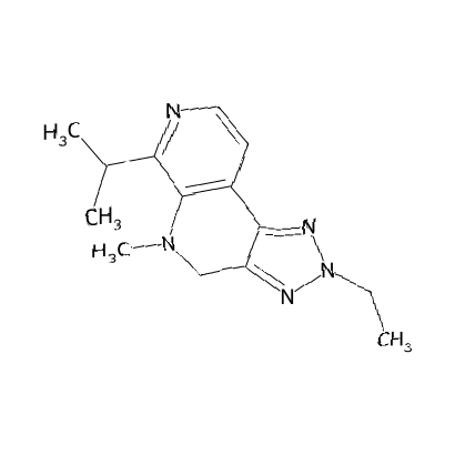 CCn1nc2c(n1)-c1ccnc(C(C)C)c1N(C)C2